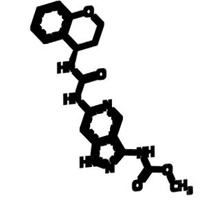 COC(=O)Nc1n[nH]c2cc(NC(=O)N[C@@H]3CCOc4ccccc43)ncc12